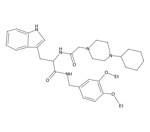 CCOc1ccc(CNC(=O)C(Cc2c[nH]c3ccccc23)NC(=O)CN2CCN(C3CCCCC3)CC2)cc1OCC